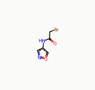 O=C(CBr)Nc1cnoc1